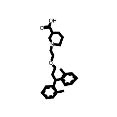 Cc1ccccc1C(CCOCCN1CCCC(C(=O)O)C1)c1ccccc1C